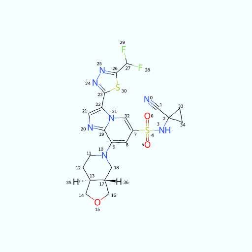 N#CC1(NS(=O)(=O)c2cc(N3CC[C@@H]4COC[C@H]4C3)c3ncc(-c4nnc(C(F)F)s4)n3c2)CC1